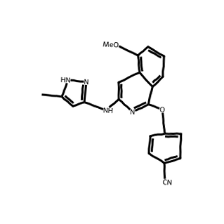 COc1cccc2c(Oc3ccc(C#N)cc3)nc(Nc3cc(C)[nH]n3)cc12